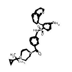 CC(C)(C1CC1)N1CCN(C(=O)c2ccc(NS(=O)(=O)c3ccc(N)cc3-c3cccc4cccnc34)cc2)CC1